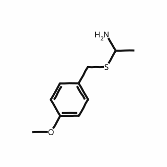 COc1ccc(CSC(C)N)cc1